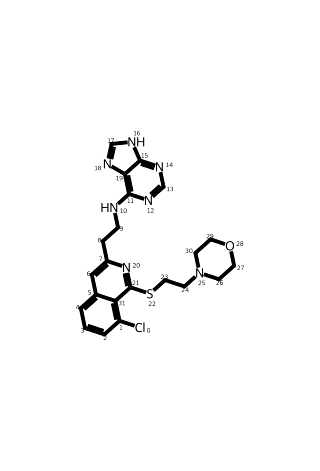 Clc1cccc2cc(CCNc3ncnc4[nH]cnc34)nc(SCCN3CCOCC3)c12